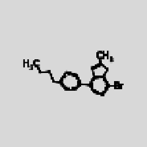 CCCCc1ccc(-c2ccc(Br)c3c2C=C(C)C3)cc1